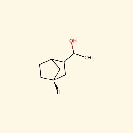 CC(O)C1C[C@@H]2CCC1C2